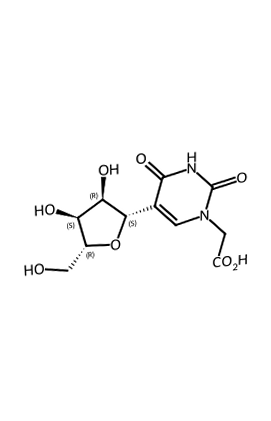 O=C(O)Cn1cc([C@@H]2O[C@H](CO)[C@@H](O)[C@H]2O)c(=O)[nH]c1=O